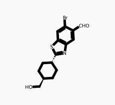 O=Cc1cc2nc([C@H]3CC[C@H](CO)CC3)sc2cc1Br